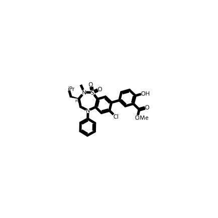 COC(=O)c1cc(-c2cc3c(cc2Cl)N(c2ccccc2)C[C@@H](CC(C)C)N(C)S3(=O)=O)ccc1O